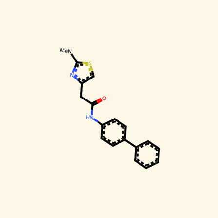 CNc1nc(CC(=O)Nc2ccc(-c3ccccc3)cc2)cs1